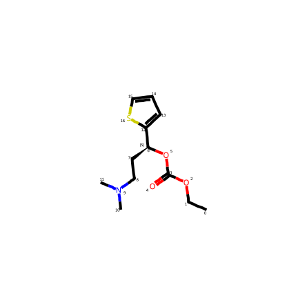 CCOC(=O)O[C@@H](CCN(C)C)c1cccs1